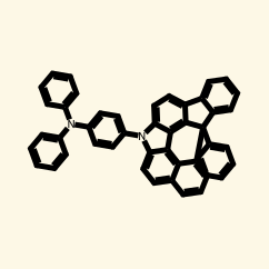 c1ccc(N(c2ccccc2)c2ccc(-n3c4ccc5c6c4c4c7c(cccc7ccc43)C6(c3ccccc3)c3ccccc3-5)cc2)cc1